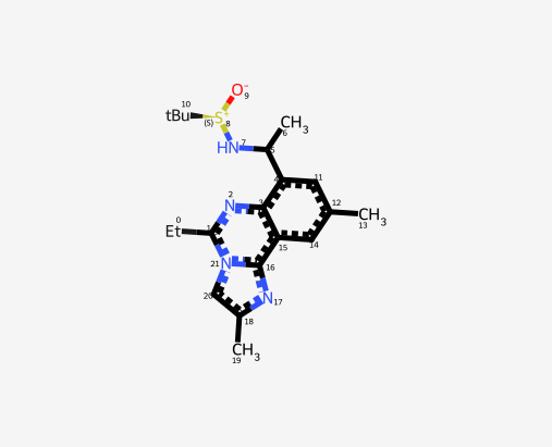 CCc1nc2c(C(C)N[S@+]([O-])C(C)(C)C)cc(C)cc2c2nc(C)cn12